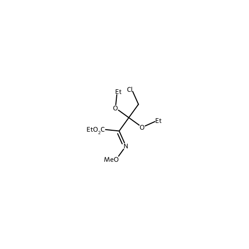 CCOC(=O)/C(=N\OC)C(CCl)(OCC)OCC